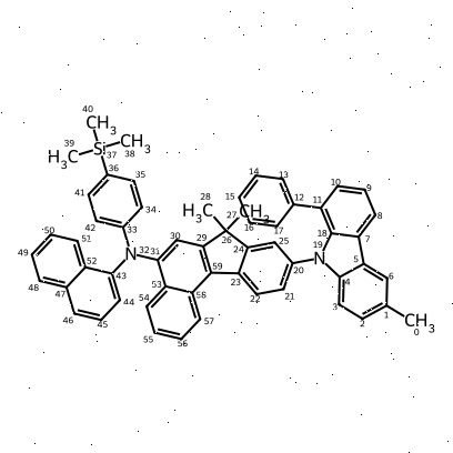 Cc1ccc2c(c1)c1cccc(-c3ccccc3)c1n2-c1ccc2c(c1)C(C)(C)c1cc(N(c3ccc([Si](C)(C)C)cc3)c3cccc4ccccc34)c3ccccc3c1-2